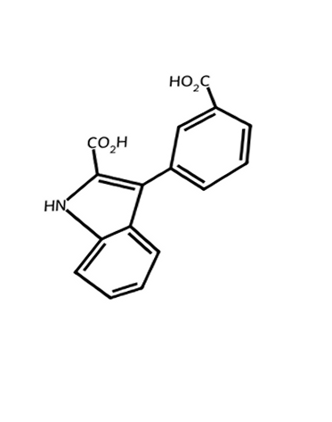 O=C(O)c1cccc(-c2c(C(=O)O)[nH]c3ccccc23)c1